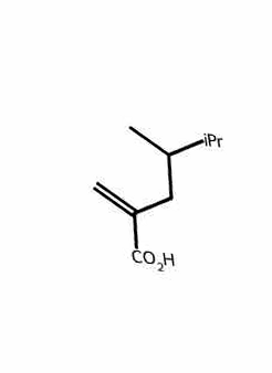 C=C(CC(C)C(C)C)C(=O)O